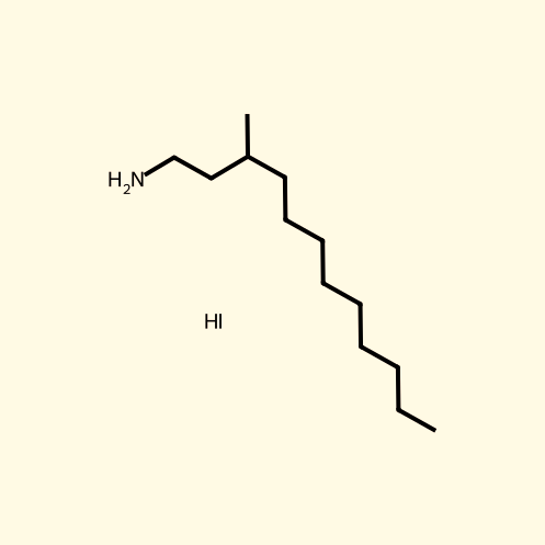 CCCCCCCCCC(C)CCN.I